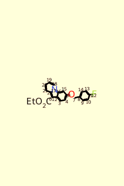 CCOC(=O)c1c2ccc(OCc3ccc(F)cc3)cc2n2ccccc12